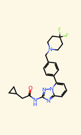 O=C(CC1CC1)Nc1nc2cccc(-c3ccc(CN4CCC(F)(F)CC4)cc3)n2n1